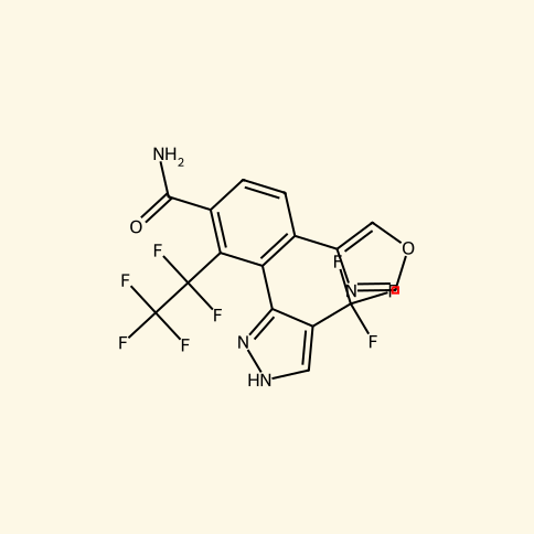 NC(=O)c1ccc(-c2cocn2)c(-c2n[nH]cc2C(F)(F)F)c1C(F)(F)C(F)(F)F